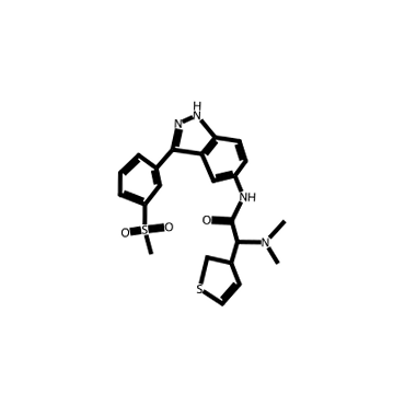 CN(C)C(C(=O)Nc1ccc2[nH]nc(-c3cccc(S(C)(=O)=O)c3)c2c1)C1C=CSC1